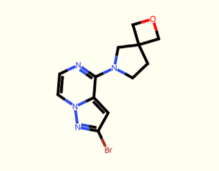 Brc1cc2c(N3CCC4(COC4)C3)nccn2n1